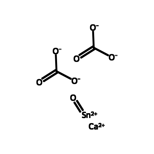 O=C([O-])[O-].O=C([O-])[O-].[Ca+2].[O]=[Sn+2]